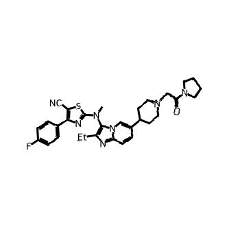 CCc1nc2ccc(C3CCN(CC(=O)N4CCCC4)CC3)cn2c1N(C)c1nc(-c2ccc(F)cc2)c(C#N)s1